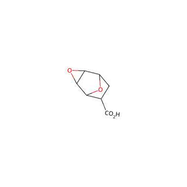 O=C(O)C1CC2OC1C1OC21